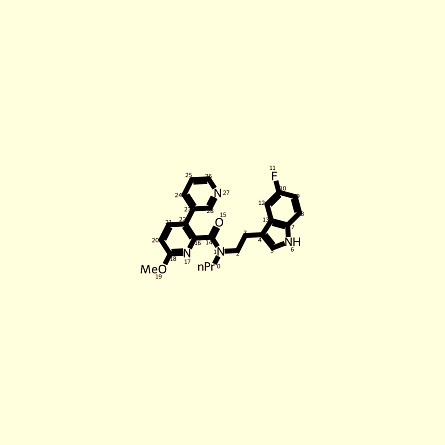 CCCN(CCc1c[nH]c2ccc(F)cc12)C(=O)c1nc(OC)ccc1-c1cccnc1